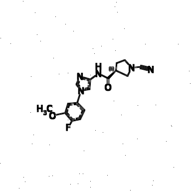 COc1cc(-n2cnc(NC(=O)[C@H]3CCN(C#N)C3)c2)ccc1F